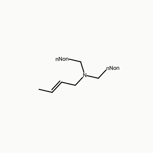 CC=CCN(CCCCCCCCCC)CCCCCCCCCC